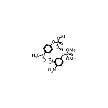 CCOP(=S)(OCC)Oc1ccc([S+](C)[O-])cc1.COP(=S)(OC)Oc1ccc([N+](=O)[O-])c(C)c1